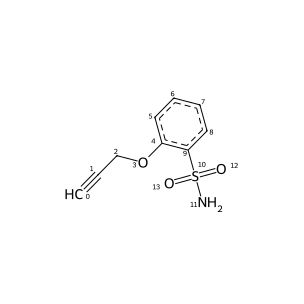 C#CCOc1ccccc1S(N)(=O)=O